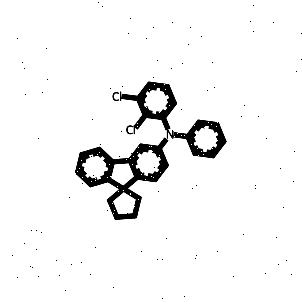 Clc1cccc(N(c2ccccc2)c2ccc3c(c2)-c2ccccc2C32CCCC2)c1Cl